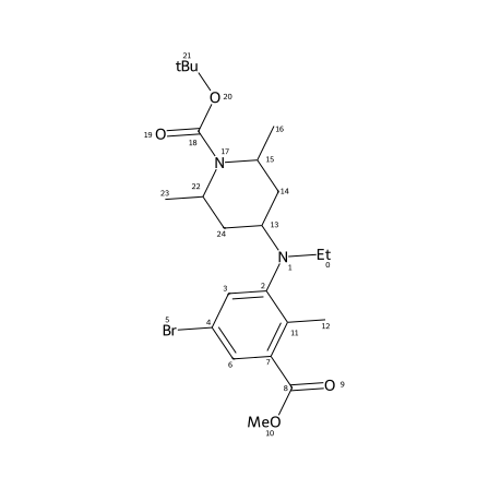 CCN(c1cc(Br)cc(C(=O)OC)c1C)C1CC(C)N(C(=O)OC(C)(C)C)C(C)C1